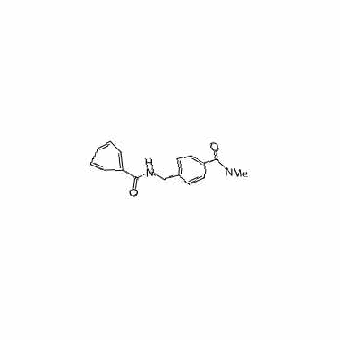 CNC(=O)c1ccc(CNC(=O)c2ccccc2)cc1